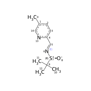 Cc1ccc(/C=N/[S@@+]([O-])C(C)(C)C)nc1